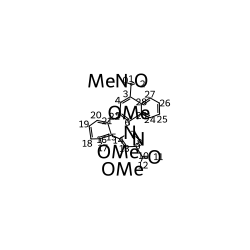 CNC(=O)c1ccc(-n2nc(C(=O)OC)cc2-c2c(OC)cccc2OC)c2ccccc12